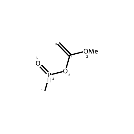 C=C(OC)O[PH](C)=O